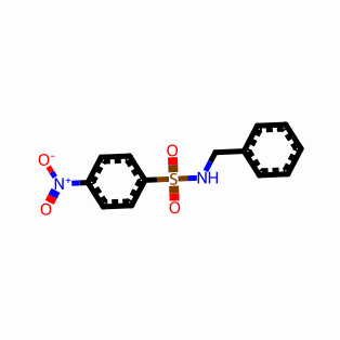 O=[N+]([O-])c1ccc(S(=O)(=O)NCc2ccccc2)cc1